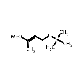 COC(C)=CCO[Si](C)(C)C